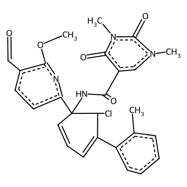 COc1nc(C2(NC(=O)c3cn(C)c(=O)n(C)c3=O)C=CC=C(c3ccccc3C)C2Cl)ccc1C=O